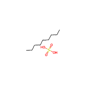 CCCCCCCCC.O=S(=O)(O)O